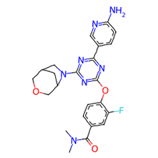 CN(C)C(=O)c1ccc(Oc2nc(-c3ccc(N)nc3)nc(N3CC4COCC3C4)n2)c(F)c1